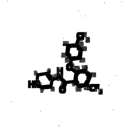 O=C(NC1=CCNC=C1)c1cc(C(F)(F)F)ccc1Oc1ccc(C(F)(F)F)cc1